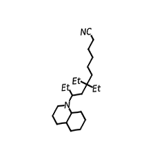 CCC(CC(CC)(CC)CCCCCC#N)N1CCCC2CCCCC21